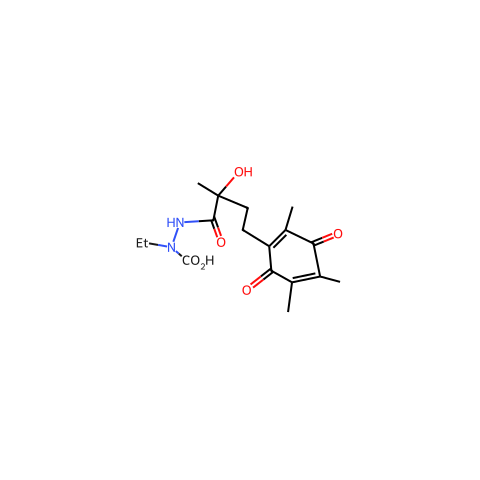 CCN(NC(=O)C(C)(O)CCC1=C(C)C(=O)C(C)=C(C)C1=O)C(=O)O